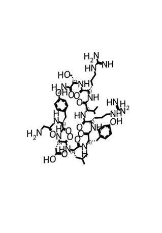 CC(C)C[C@H](NC(=O)[C@H](CC(=O)O)NC(=O)[C@H](Cc1ccc(O)cc1)NC(=O)CN)C(=O)N[C@@H](Cc1ccc(O)cc1)C(=O)N[C@@H](CCCNC(=N)N)C(=O)N[C@H](C(=O)N[C@@H](CCCNC(=N)N)C(=O)N[C@@H](CO)C(N)=O)C(C)C